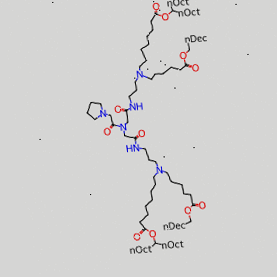 CCCCCCCCCCCOC(=O)CCCCCN(CCCCCCCC(=O)OC(CCCCCCCC)CCCCCCCC)CCCNC(=O)CN(CC(=O)NCCCN(CCCCCCCC(=O)OC(CCCCCCCC)CCCCCCCC)CCCCCC(=O)OCCCCCCCCCCC)C(=O)CN1CCCC1